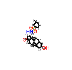 Cc1cccc(S(=O)(=O)NC[C@H]2CC(=O)[C@@]3(C)CC[C@@H]4c5ccc(O)cc5CC[C@H]4[C@H]23)c1